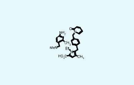 CCn1c(C(=O)O)cc(C)c1Cc1ccc(Cn2ccccc2=O)cc1.CNCc1ccc(N)cc1C